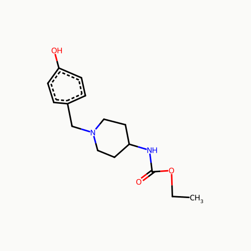 CCOC(=O)NC1CCN(Cc2ccc(O)cc2)CC1